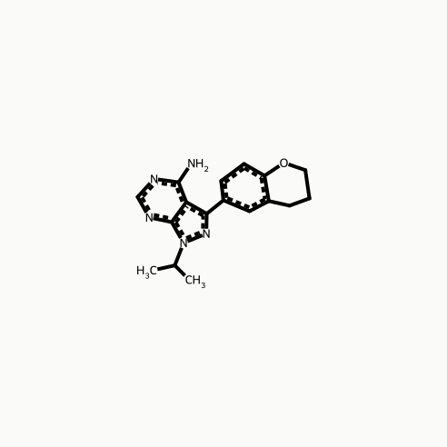 CC(C)n1nc(-c2ccc3c(c2)CCCO3)c2c(N)ncnc21